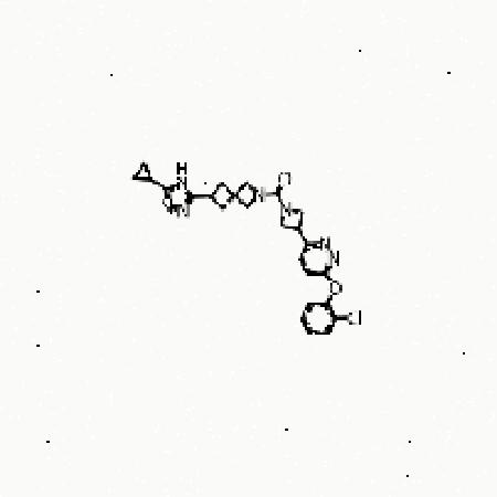 O=C(N1CC(c2ccc(Oc3ccccc3Cl)nn2)C1)N1CC2(CC(c3nnc(C4CC4)[nH]3)C2)C1